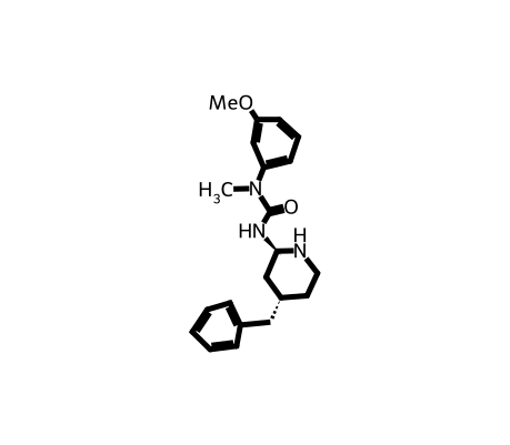 COc1cccc(N(C)C(=O)N[C@@H]2C[C@@H](Cc3ccccc3)CCN2)c1